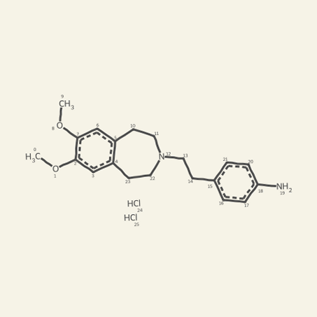 COc1cc2c(cc1OC)CCN(CCc1ccc(N)cc1)CC2.Cl.Cl